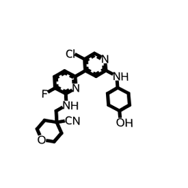 N#CC1(CNc2nc(-c3cc(NC4CCC(O)CC4)ncc3Cl)ccc2F)CCOCC1